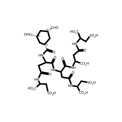 O=C[C@@H]1C[C@H](C=O)C[C@H](C(=O)NC(CC(=O)NC(CS(=O)(=O)O)C(=O)O)C(=O)NC(CC(=O)NC(CS(=O)(=O)O)C(=O)O)C(=O)NC(CC(=O)NC(CS(=O)(=O)O)C(=O)O)C(=O)O)C1